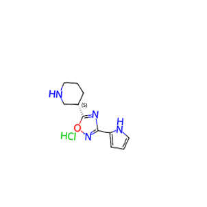 Cl.c1c[nH]c(-c2noc([C@H]3CCCNC3)n2)c1